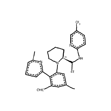 CCC(Nc1ccc(C(F)(F)F)cn1)[C@@H]1CCCCN1c1cc(C)cc(C=O)c1-c1cccc(C)n1